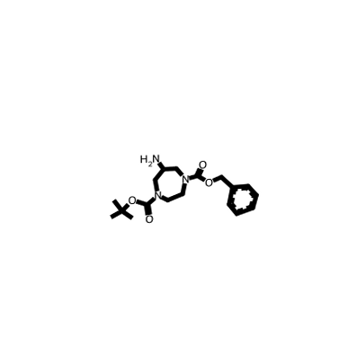 CC(C)(C)OC(=O)N1CCN(C(=O)OCc2ccccc2)CC(N)C1